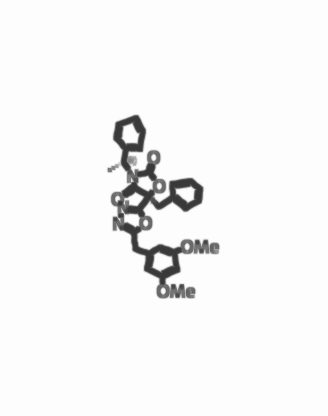 COc1cc(Cc2nnc([C@@]3(Cc4ccccc4)OC(=O)N([C@H](C)c4ccccc4)C3=O)o2)cc(OC)c1